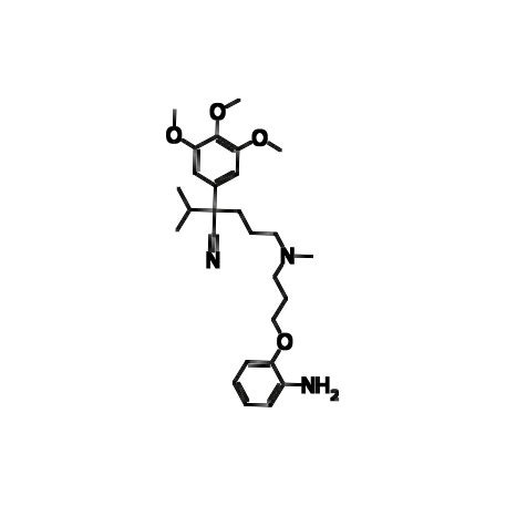 COc1cc(C(C#N)(CCCN(C)CCCOc2ccccc2N)C(C)C)cc(OC)c1OC